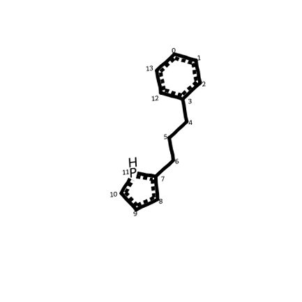 c1ccc(CCCc2ccc[pH]2)cc1